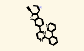 C#Cc1sc2cc(-c3ccnc(-c4ccccc4-c4cccnc4)n3)ccc2c1/C=C\C